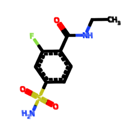 CCNC(=O)c1ccc(S(N)(=O)=O)cc1F